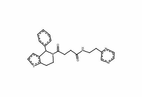 O=C(CCC(=O)N1CCc2sccc2C1c1ccccc1)NCCc1cnccn1